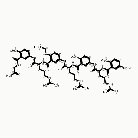 COc1ccc(NC(=O)[C@H](CCCNC(=N)N)NC(=O)c2cc(NC(=O)[C@H](CCCNC(=N)N)NC(=O)c3cc(NC(=O)[C@H](CCCNC(=N)N)NC(=O)c4cc(NC(C)=O)ccc4OC)ccc3OC)ccc2OCC(=O)O)cc1C(=O)NCC(N)=O